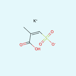 CC(=CS(=O)(=O)[O-])C(=O)O.[K+]